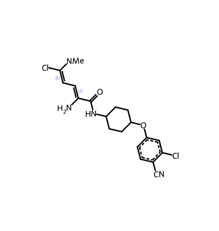 CN/C(Cl)=C\C=C(/N)C(=O)NC1CCC(Oc2ccc(C#N)c(Cl)c2)CC1